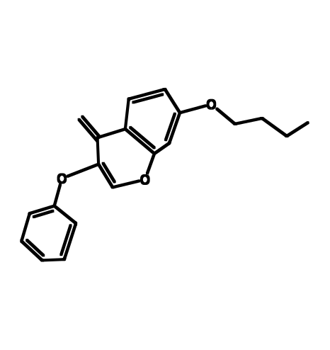 C=C1C(Oc2ccccc2)=COc2cc(OCCCC)ccc21